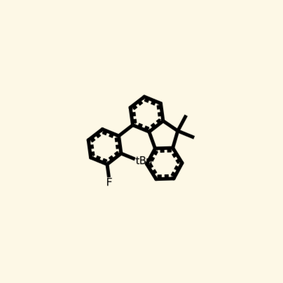 CC(C)(C)c1c(F)cccc1-c1cccc2c1-c1ccccc1C2(C)C